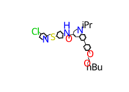 CCCCOCCOc1ccc(-c2ccc3c(c2)C=C(C(=O)Nc2ccc(SCc4cc(Cl)ccn4)cc2)CCN3CC(C)C)cc1